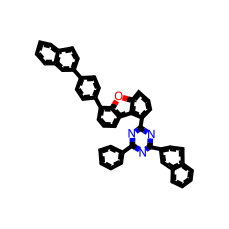 c1ccc(-c2nc(-c3ccc4ccccc4c3)nc(-c3cccc4oc5c(-c6ccc(-c7ccc8ccccc8c7)cc6)cccc5c34)n2)cc1